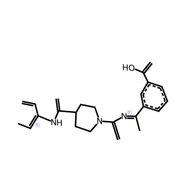 C=C/C(=C\C)NC(=C)C1CCN(C(=C)/N=C(\C)c2cccc(C(=C)O)c2)CC1